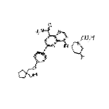 NC(=O)c1cc(-c2ccc(OCC3(O)CCCC3)cc2)nc2c(N[C@H]3C[C@H](F)CN(C(=O)O)C3)ncnc12